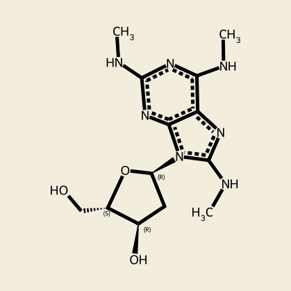 CNc1nc(NC)c2nc(NC)n([C@H]3C[C@@H](O)[C@H](CO)O3)c2n1